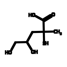 CC(S)(CC(O)CO)C(=O)O